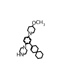 COC1CCN(c2ccc(N3CCNCC3)c(C3=CCC4(CCCCC4)CC3)c2)CC1